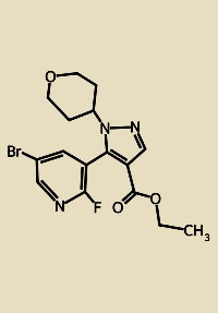 CCOC(=O)c1cnn(C2CCOCC2)c1-c1cc(Br)cnc1F